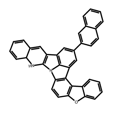 C1=CC2=Cc3c(n4c5ccc6oc7ccccc7c6c5c5cc(-c6ccc7ccccc7c6)cc3c54)NC2C=C1